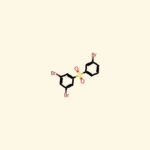 O=S(=O)(c1cccc(Br)c1)c1cc(Br)cc(Br)c1